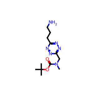 CN(Cc1nnc(CCCN)nn1)C(=O)OC(C)(C)C